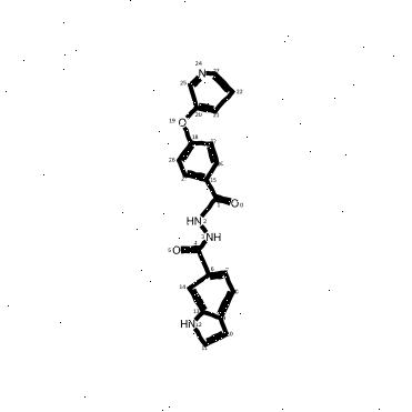 O=C(NNC(=O)c1ccc2cc[nH]c2c1)c1ccc(Oc2cccnc2)cc1